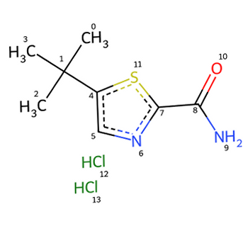 CC(C)(C)c1cnc(C(N)=O)s1.Cl.Cl